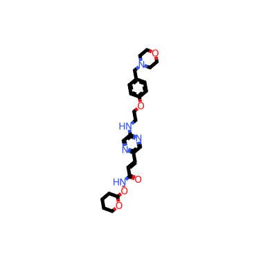 O=C(/C=C/c1cnc(NCCOc2ccc(CN3CCOCC3)cc2)cn1)NOC1CCCCO1